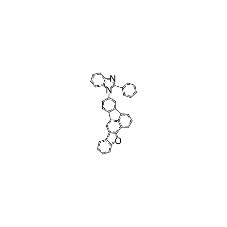 c1ccc(-c2nc3ccccc3n2-c2ccc3c(c2)-c2cccc4c2c-3cc2c3ccccc3oc42)cc1